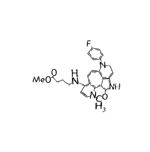 COC(=O)CCCNC1=c2ccc3c4c([nH]c(=O)c-4c2N(C)C=C1)=CCN3c1ccc(F)cc1